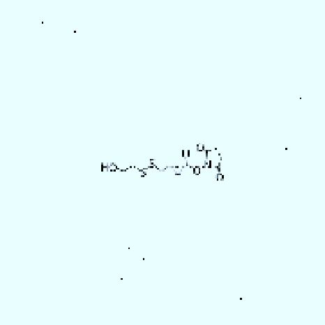 O=C(OCCSSCCO)ON1C(=O)CCC1=O